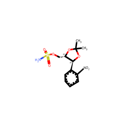 CC1(C)O[C@@H](COS(N)(=O)=O)[C@H](c2ccccc2[N+](=O)[O-])O1